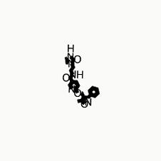 Cc1onc(-c2ccccc2)c1COc1ccc(C(=O)NCCN2CCNC2=O)cn1